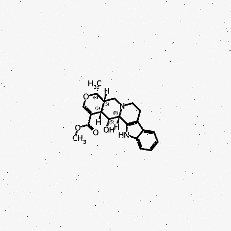 COC(=O)C1=CO[C@H](C)[C@@H]2CN3CCc4c([nH]c5ccccc45)[C@@H]3[C@@H](O)[C@H]12